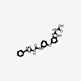 O=C(O)Nc1nc2cc(Oc3cccc(NC(=O)Nc4nc(-c5ccccc5)ns4)c3)ccc2[nH]1